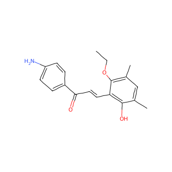 CCOc1c(C)cc(C)c(O)c1C=CC(=O)c1ccc(N)cc1